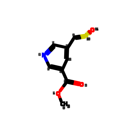 COC(=O)c1cncc(C=S=O)c1